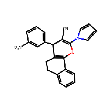 N#CC1=C(n2cccc2)OC2=C(CCc3ccccc32)C1c1cccc([N+](=O)[O-])c1